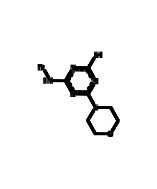 CCNc1nc(S)nc(N2CCOCC2)n1